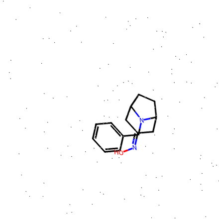 ON=C1CC2CCC(C1)N2Cc1ccccc1